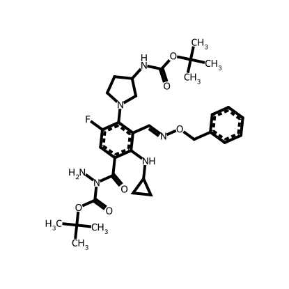 CC(C)(C)OC(=O)NC1CCN(c2c(F)cc(C(=O)N(N)C(=O)OC(C)(C)C)c(NC3CC3)c2/C=N/OCc2ccccc2)C1